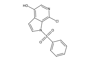 O=S(=O)(c1ccccc1)n1ccc2c(O)cnc(Cl)c21